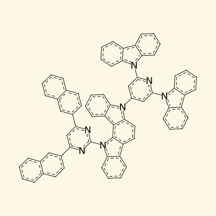 c1ccc2cc(-c3cc(-c4ccc5ccccc5c4)nc(-n4c5ccccc5c5ccc6c(c7ccccc7n6-c6cc(-n7c8ccccc8c8ccccc87)nc(-n7c8ccccc8c8ccccc87)c6)c54)n3)ccc2c1